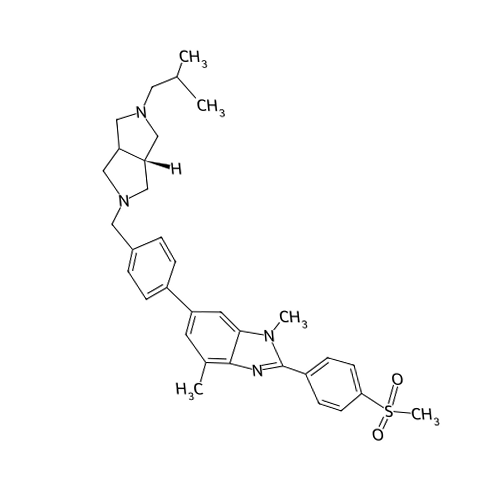 Cc1cc(-c2ccc(CN3CC4CN(CC(C)C)C[C@@H]4C3)cc2)cc2c1nc(-c1ccc(S(C)(=O)=O)cc1)n2C